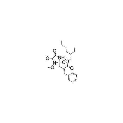 CCCCC(CC)COC(=O)C(=Cc1ccccc1)CC1(OC)NC(=O)C(=O)N1OC